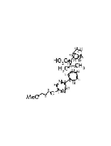 COCCCOc1cnc(-c2cccc(C(C)(C)N(C(=O)O)C3CN4CCC3CC4)c2)cn1